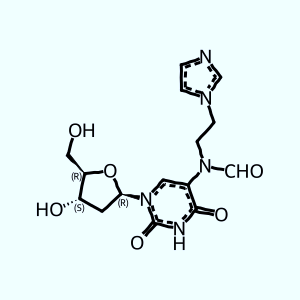 O=CN(CCn1ccnc1)c1cn([C@H]2C[C@H](O)[C@@H](CO)O2)c(=O)[nH]c1=O